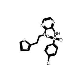 O=S(=O)(Nc1nccnc1OCCc1cccs1)c1ccc(Cl)cc1